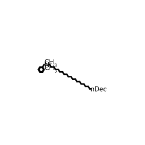 CCCCCCCCCCCCCCCCCCCCCCCCCCCCCC[N+](C)(C)Cc1ccccc1